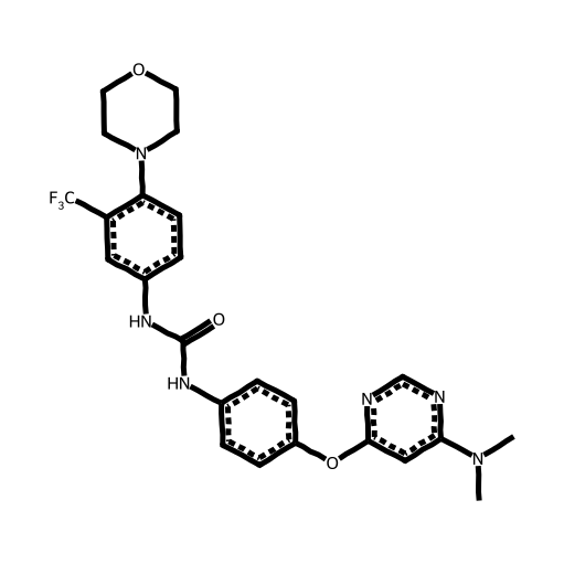 CN(C)c1cc(Oc2ccc(NC(=O)Nc3ccc(N4CCOCC4)c(C(F)(F)F)c3)cc2)ncn1